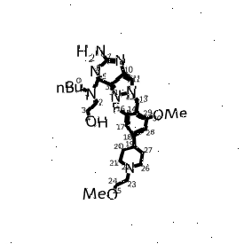 CCCCN(CCO)c1nc(N)nc2cn(Cc3c(F)cc(C4CCN(CCOC)CC4)cc3OC)nc12